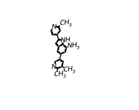 Cc1cc(-c2cc3cc(-c4cnc(C)c(C)c4)ccc3[nH]2)ccn1.N